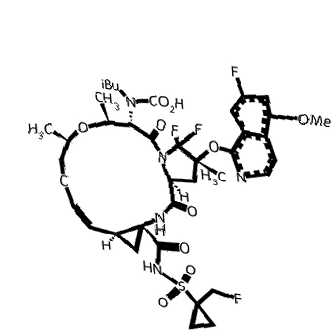 CCC(C)N(C(=O)O)[C@@H]1C(=O)N2[C@@H](C[C@@](C)(Oc3nccc4c(OC)cc(F)cc34)C2(F)F)C(=O)N[C@]2(C(=O)NS(=O)(=O)C3(CF)CC3)C[C@H]2/C=C\CC[C@@H](C)O[C@H]1C